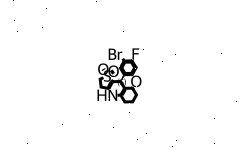 O=C1CCCC2=C1[C@H](c1ccc(F)c(Br)c1)C1=C(CCS1(=O)=O)N2